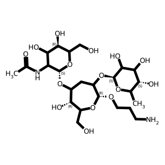 CC(=O)NC1C(O)[C@@H](O)C(CO)O[C@@H]1OC1CC(O[C@@H]2OC(C)[C@@H](O)C(O)C2O)[C@H](OCCCN)OC(CO)[C@@H]1O